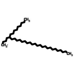 [CH2]CCCC(CCCCCCCCC)CCCCCCCCCCCCCCCCCCCCCCC